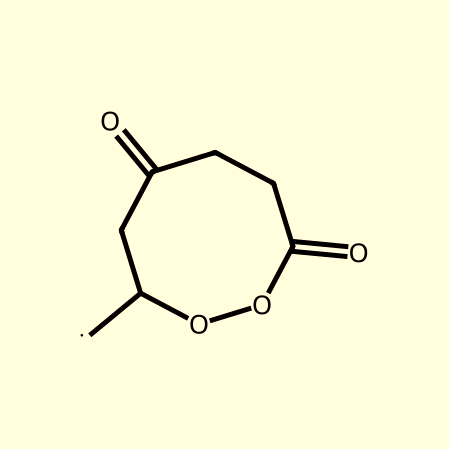 [CH2]C1CC(=O)CCC(=O)OO1